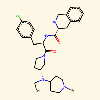 CC(C)CN(C1CCN(C(C)C)CC1)[C@@H]1CCN(C(=O)[C@@H](Cc2ccc(Cl)cc2)NC(=O)[C@H]2Cc3ccccc3CN2)C1